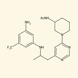 CC(=O)NC1CCCN(c2cc(CC(C)Nc3cc(N)cc(C(F)(F)F)c3)ncn2)C1